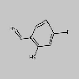 N=Cc1ccc(F)cc1S